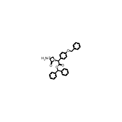 N[C@@H]1CN(C(C(=O)OC(c2ccccc2)c2ccccc2)c2ccc(OCc3ccccc3)cc2)C1=O